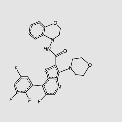 O=C(NN1CCOc2ccccc21)c1sc2c(-c3cc(F)cc(F)c3F)c(F)cnc2c1N1CCOCC1